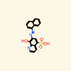 O=S(=O)(O)c1cc(/N=N/c2cccc3ccccc23)c(O)c2ncccc12